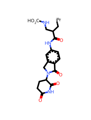 CC(C)CC(CNC(=O)O)C(=O)Nc1ccc2c(c1)CN(C1CCC(=O)NC1=O)C2=O